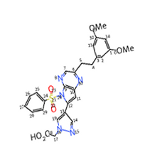 COc1cc(CCc2cnc3c(cc(-c4cnn(CC(=O)O)c4)n3S(=O)(=O)c3ccccc3)n2)cc(OC)c1